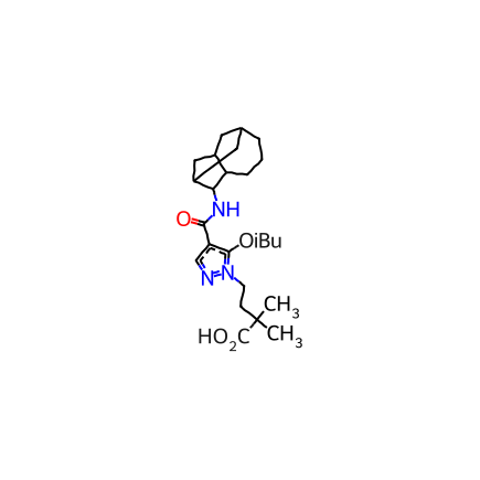 CC(C)COc1c(C(=O)NC2C3CC4CCCC2C(C4)C3)cnn1CCC(C)(C)C(=O)O